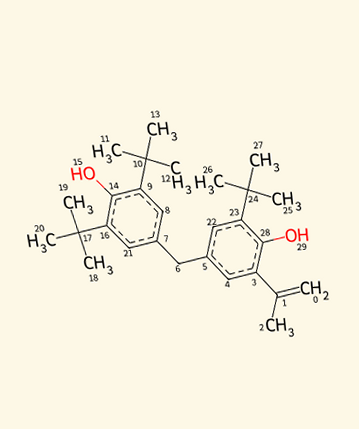 C=C(C)c1cc(Cc2cc(C(C)(C)C)c(O)c(C(C)(C)C)c2)cc(C(C)(C)C)c1O